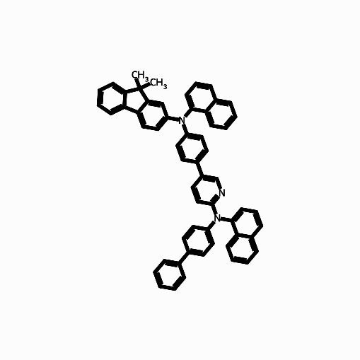 CC1(C)c2ccccc2-c2ccc(N(c3ccc(-c4ccc(N(c5ccc(-c6ccccc6)cc5)c5cccc6ccccc56)nc4)cc3)c3cccc4ccccc34)cc21